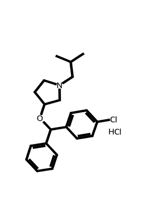 CC(C)CN1CCC(OC(c2ccccc2)c2ccc(Cl)cc2)C1.Cl